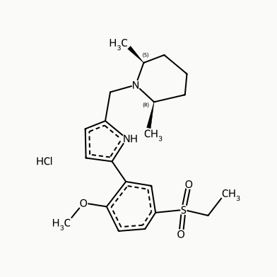 CCS(=O)(=O)c1ccc(OC)c(-c2ccc(CN3[C@H](C)CCC[C@@H]3C)[nH]2)c1.Cl